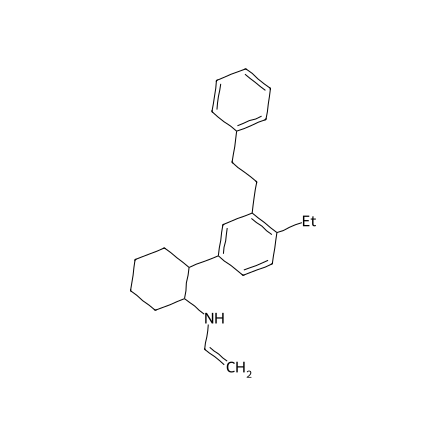 C=CNC1CCCCC1c1ccc(CC)c(CCc2ccccc2)c1